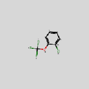 FC(F)(Cl)Oc1cc[c]cc1Cl